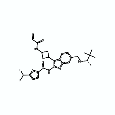 C=CC(=O)NC1CC(n2c(NC(=O)c3ccc(C(F)F)s3)nc3cc(CN[C@@H](C)C(C)(C)C)ccc32)C1